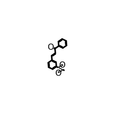 CS(=O)(=O)c1cccc(/C=C/C(=O)c2ccccc2)c1